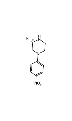 O=[N+]([O-])c1ccc(N2CCN[C@@H](I)C2)cc1